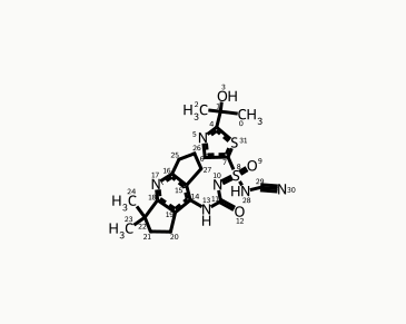 CC(C)(O)c1ncc(S(=O)(=NC(=O)Nc2c3c(nc4c2CCC4(C)C)CCC3)NC#N)s1